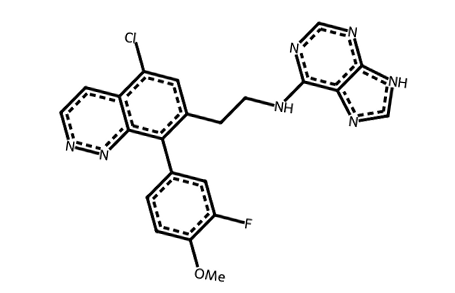 COc1ccc(-c2c(CCNc3ncnc4[nH]cnc34)cc(Cl)c3ccnnc23)cc1F